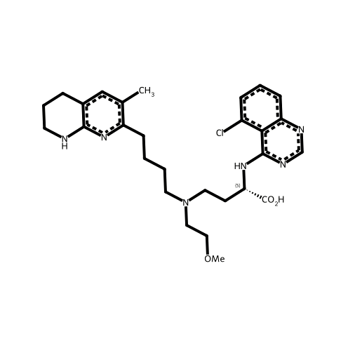 COCCN(CCCCc1nc2c(cc1C)CCCN2)CC[C@H](Nc1ncnc2cccc(Cl)c12)C(=O)O